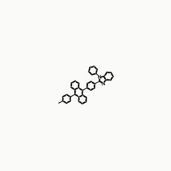 Cc1ccc(-c2c3ccccc3c(-c3ccc(-c4nc5ccccc5n4-c4ccccc4)cc3)c3ccccc23)cc1